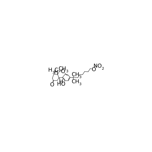 CC(C)(CCCCCCO[N+](=O)[O-])c1cc(O)c2c(c1)OC(C)(C)[C@H]1CCC(=O)C[C@@H]21